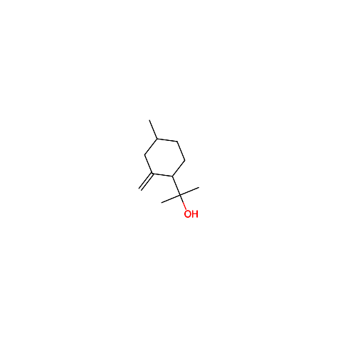 C=C1CC(C)CCC1C(C)(C)O